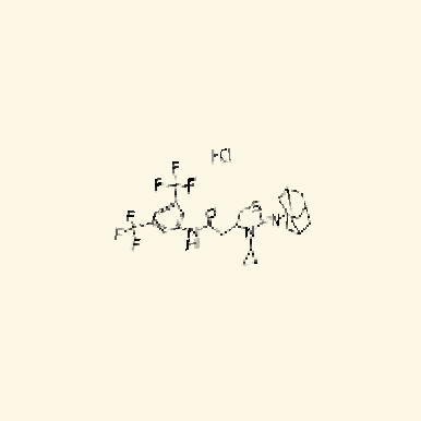 Cl.O=C(CC1CSC(=NC23CC4CC(CC(C4)C2)C3)N1C1CC1)Nc1cc(C(F)(F)F)cc(C(F)(F)F)c1